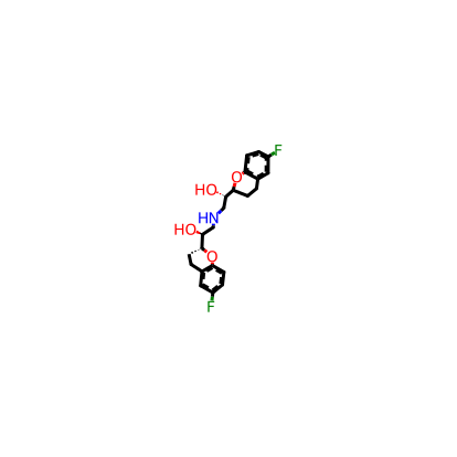 O[C@@H](CNC[C@H](O)[C@H]1CCc2cc(F)ccc2O1)C1CCc2cc(F)ccc2O1